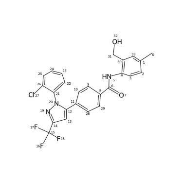 Cc1ccc(NC(=O)c2ccc(-c3cc(C(F)(F)F)nn3-c3ccccc3Cl)cc2)c(CO)c1